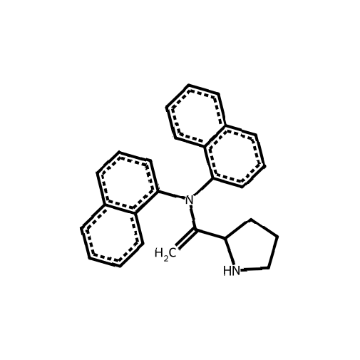 C=C(C1CCCN1)N(c1cccc2ccccc12)c1cccc2ccccc12